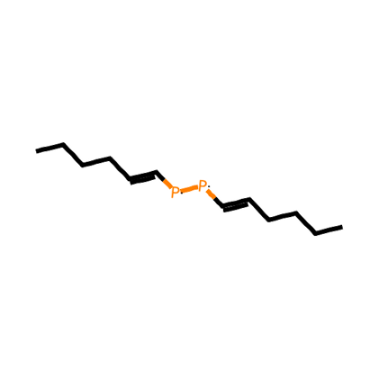 CCCCC=C[P][P]C=CCCCC